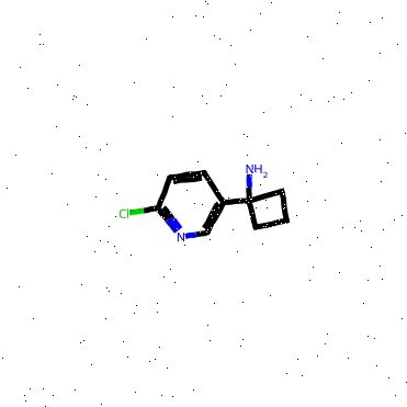 NC1(c2ccc(Cl)nc2)CCC1